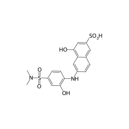 CN(C)S(=O)(=O)c1ccc(Nc2ccc3cc(S(=O)(=O)O)cc(O)c3c2)c(O)c1